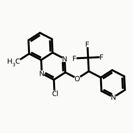 Cc1cccc2nc(OC(c3cccnc3)C(F)(F)F)c(Cl)nc12